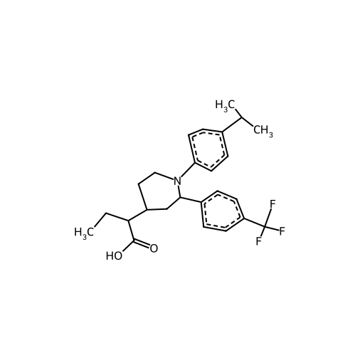 CCC(C(=O)O)C1CCN(c2ccc(C(C)C)cc2)C(c2ccc(C(F)(F)F)cc2)C1